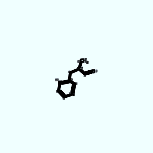 CN([C]=O)Cc1cnccn1